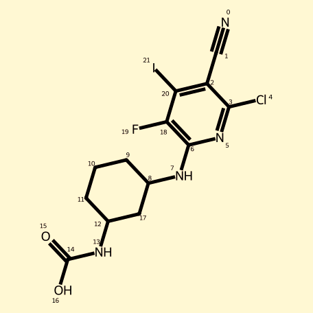 N#Cc1c(Cl)nc(NC2CCCC(NC(=O)O)C2)c(F)c1I